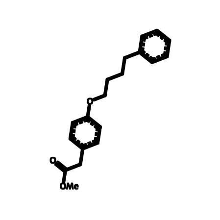 COC(=O)Cc1ccc(OCCCCc2ccccc2)cc1